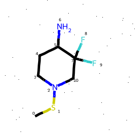 CSN1CCC(N)C(F)(F)C1